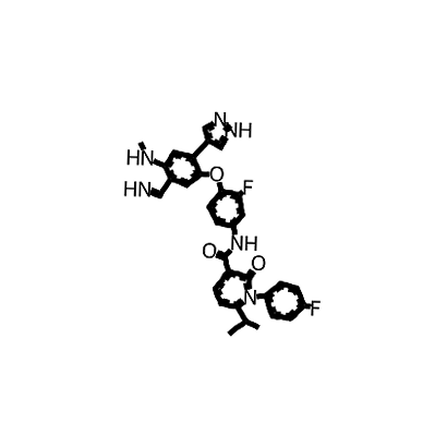 CNc1cc(-c2cn[nH]c2)c(Oc2ccc(NC(=O)c3ccc(C(C)C)n(-c4ccc(F)cc4)c3=O)cc2F)cc1C=N